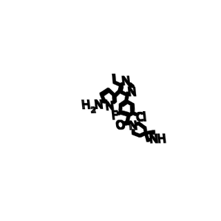 CCc1ncnc(-c2cc(F)c(C(=O)N3CCC4(CC3)CNC4)c(Cl)c2)c1-c1ccc(N)nc1